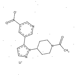 CC(=O)N1CCC(n2nccc2-c2cncc(C(=O)[O-])c2)CC1.[Li+]